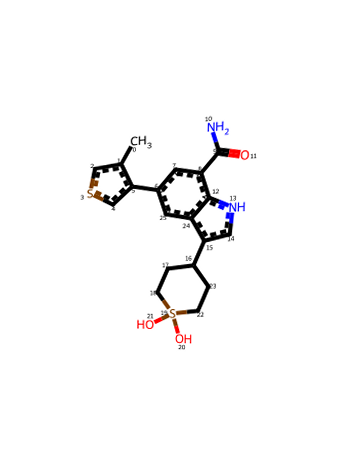 Cc1cscc1-c1cc(C(N)=O)c2[nH]cc(C3CCS(O)(O)CC3)c2c1